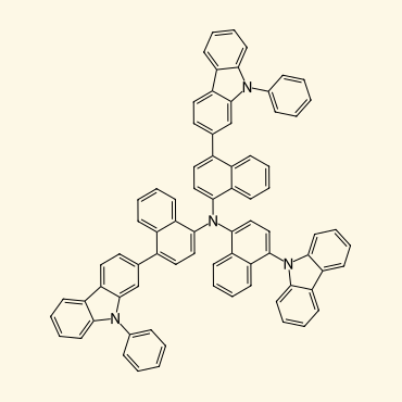 c1ccc(-n2c3ccccc3c3ccc(-c4ccc(N(c5ccc(-c6ccc7c8ccccc8n(-c8ccccc8)c7c6)c6ccccc56)c5ccc(-n6c7ccccc7c7ccccc76)c6ccccc56)c5ccccc45)cc32)cc1